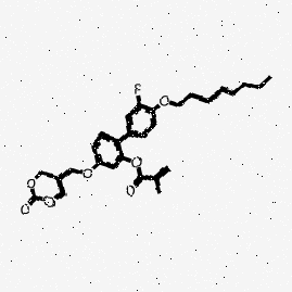 C=C(C)C(=O)Oc1cc(OCC2COC(=O)OC2)ccc1-c1ccc(OCCCCCCCC)c(F)c1